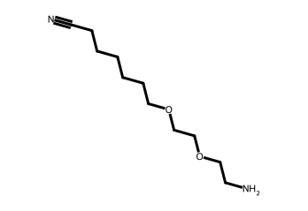 N#CCCCCCCOCCOCCN